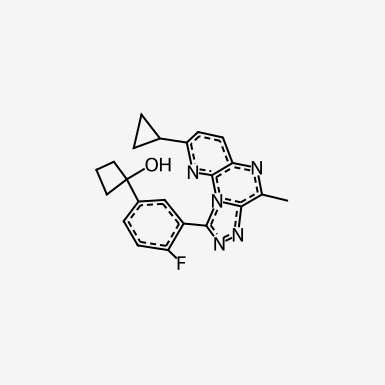 Cc1nc2ccc(C3CC3)nc2n2c(-c3cc(C4(O)CCC4)ccc3F)nnc12